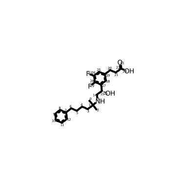 CC(C)(CCCCc1ccccc1)NC[C@@H](O)c1cc(CCC(=O)O)cc(F)c1F